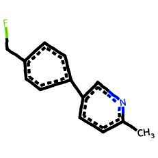 Cc1ccc(-c2ccc(CF)cc2)cn1